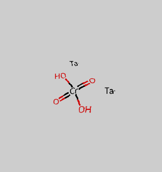 [O]=[Cr](=[O])([OH])[OH].[Ta].[Ta]